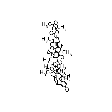 COc1c(N2CCN(C(=O)OC(C)OC(C)=O)C(C)C2)c(F)c(C)c2c(=O)c(C(=O)OC(C)(C)C(=O)[C@@]3(O)[C@H](C)C[C@H]4[C@@H]5CCC6=CC(=O)C=C[C@]6(C)[C@@]5(F)[C@@H](O)C[C@@]43C)c(C)n(C3CC3)c12